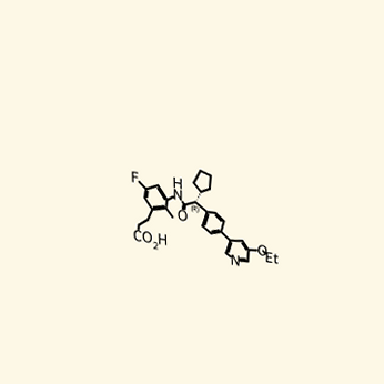 CCOc1cncc(-c2ccc([C@H](C(=O)Nc3cc(F)cc(CCC(=O)O)c3C)C3CCCC3)cc2)c1